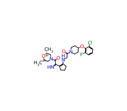 C[C@@H]1CN(C(=O)C(=N)C2=C(NCC(=O)N3CCC(Oc4c(F)cccc4Cl)CC3)CCC2)C[C@H](C)O1